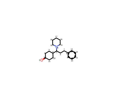 O=C1CCC(C(CCc2ccccc2)N2CCCCC2)CC1